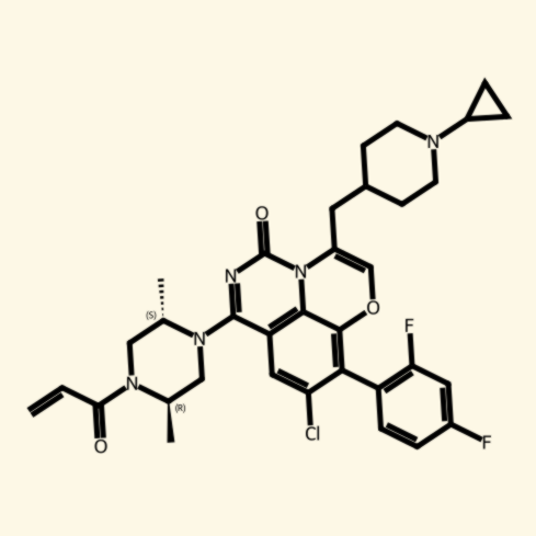 C=CC(=O)N1C[C@H](C)N(c2nc(=O)n3c4c(c(-c5ccc(F)cc5F)c(Cl)cc24)OC=C3CC2CCN(C3CC3)CC2)C[C@H]1C